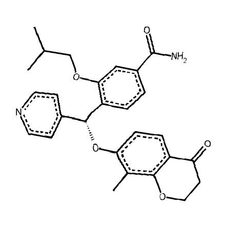 Cc1c(O[C@H](c2ccncc2)c2ccc(C(N)=O)cc2OCC(C)C)ccc2c1OCCC2=O